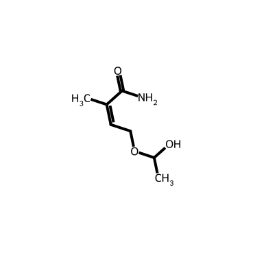 CC(=CCOC(C)O)C(N)=O